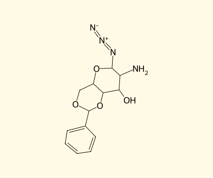 [N-]=[N+]=NC1OC2COC(c3ccccc3)OC2C(O)C1N